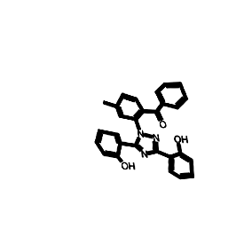 Cc1ccc(C(=O)c2ccccc2)c(-n2nc(-c3ccccc3O)nc2-c2ccccc2O)c1